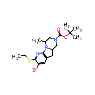 CCSc1nc2c(cc1Br)CC1CN(C(=O)OC(C)(C)C)CC(C)N21